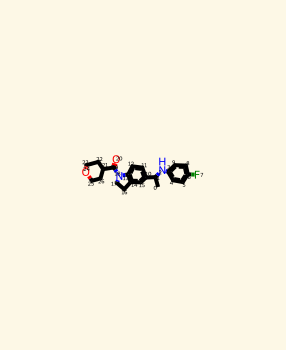 CC(Nc1ccc(F)cc1)c1ccc2c(c1)CCN2C(=O)C1CCOCC1